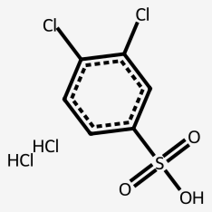 Cl.Cl.O=S(=O)(O)c1ccc(Cl)c(Cl)c1